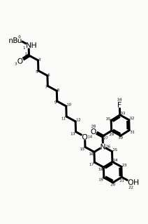 CCCCNC(=O)CCCCCCCCCCOCC1Cc2ccc(O)cc2CN1C(=O)c1cccc(F)c1